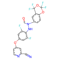 N#Cc1cc(Oc2cc(F)c(NN(C=O)c3ccc4c(c3)C(F)(F)OC(F)(F)O4)c(F)c2)ccn1